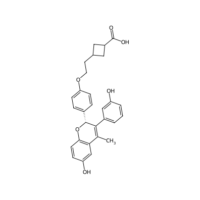 CC1=C(c2cccc(O)c2)[C@@H](c2ccc(OCCC3CC(C(=O)O)C3)cc2)Oc2ccc(O)cc21